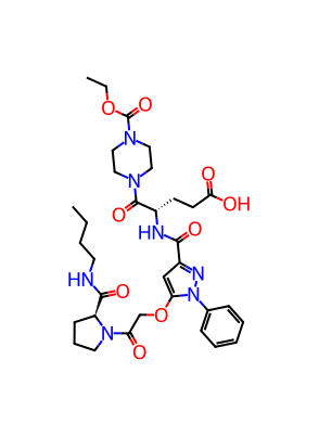 CCCCNC(=O)[C@@H]1CCCN1C(=O)COc1cc(C(=O)N[C@@H](CCC(=O)O)C(=O)N2CCN(C(=O)OCC)CC2)nn1-c1ccccc1